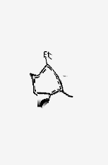 CCc1[c]c(C)c(C)cc1